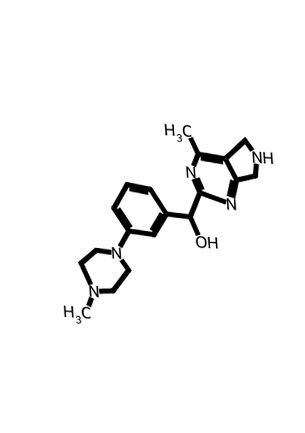 Cc1nc(C(O)c2cccc(N3CCN(C)CC3)c2)nc2c1CNC2